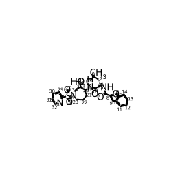 CC(C)C[C@H](NC(=O)c1cc2ccccc2o1)C(=O)NC1CCCN(S(=O)(=O)c2ccccn2)CC1O